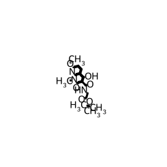 COc1ccc2c(O)c(C(=O)NCC(=O)OC(C)(C)C)c(=O)n(C)c2n1